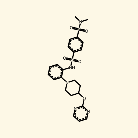 CN(C)S(=O)(=O)c1ccc(S(=O)(=O)Nc2ccccc2N2CCC(Oc3ncccn3)CC2)cc1